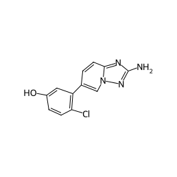 Nc1nc2ccc(-c3cc(O)ccc3Cl)cn2n1